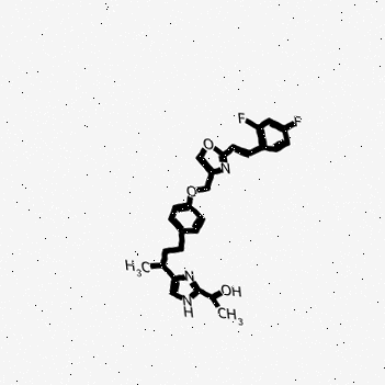 CC(O)c1nc(C(C)CCc2ccc(OCc3coc(C=Cc4ccc(F)cc4F)n3)cc2)c[nH]1